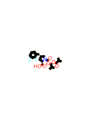 CC(C)C(=O)O[C@@H](OC(=O)N1C[C@@H](Cc2cccc(F)c2F)C[C@H]1C(=O)O)C(C)C